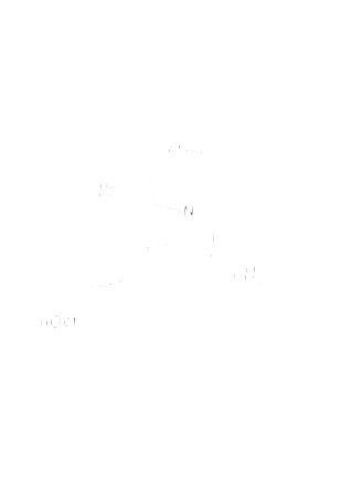 C=CC[N+]1(CCCCCCCCCCCC)CCOCC1.[Br-]